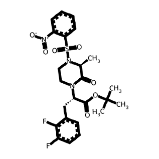 C[C@H]1C(=O)N([C@@H](Cc2cccc(F)c2F)C(=O)OC(C)(C)C)CCN1S(=O)(=O)c1ccccc1[N+](=O)[O-]